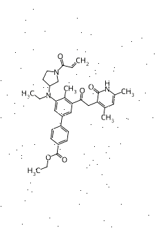 C=CC(=O)N1CCC(N(CC)c2cc(-c3ccc(C(=O)OCC)cc3)cc(C(=O)Cc3c(C)cc(C)[nH]c3=O)c2C)C1